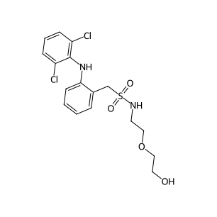 O=S(=O)(Cc1ccccc1Nc1c(Cl)cccc1Cl)NCCOCCO